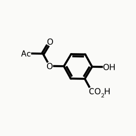 CC(=O)C(=O)Oc1ccc(O)c(C(=O)O)c1